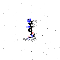 Cc1c(-c2[nH]c3ccc(C4CN(CC(=O)N(C)C)C(C)(C)CO4)cc3c2C(C)C)cn2ncnc2c1C